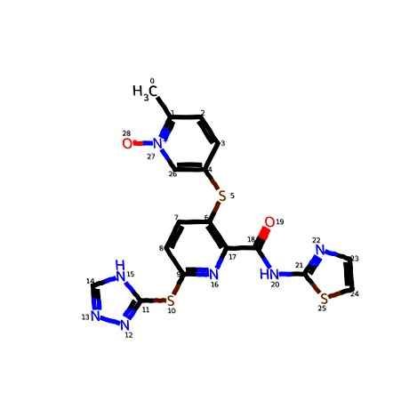 Cc1ccc(Sc2ccc(Sc3nnc[nH]3)nc2C(=O)Nc2nccs2)c[n+]1[O-]